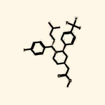 COC(=O)C[C@H]1CCN([C@@H](CCC(C)C)c2ccc(I)cc2)[C@@H](C2C=CC(C(F)(F)F)=CC2)C1